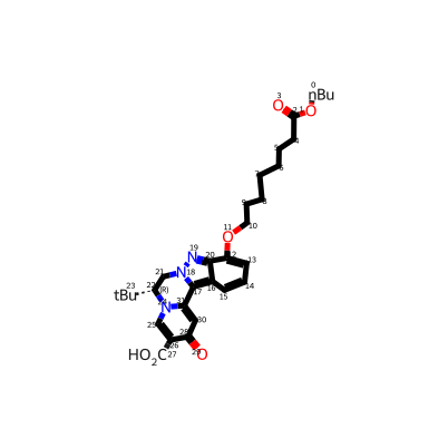 CCCCOC(=O)CCCCCCCOc1cccc2c3n(nc12)C[C@@H](C(C)(C)C)n1cc(C(=O)O)c(=O)cc1-3